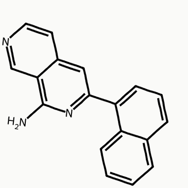 Nc1nc(-c2cccc3ccccc23)cc2ccncc12